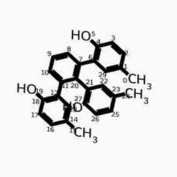 Cc1ccc(O)c(-c2cccc(-c3cc(C)ccc3O)c2-c2cc(C)ccc2O)c1